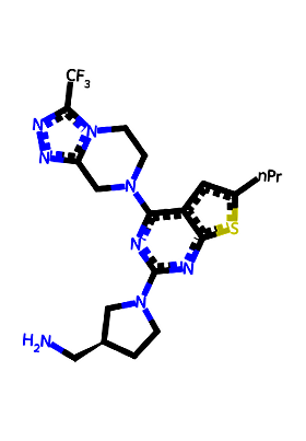 CCCc1cc2c(N3CCn4c(nnc4C(F)(F)F)C3)nc(N3CC[C@@H](CN)C3)nc2s1